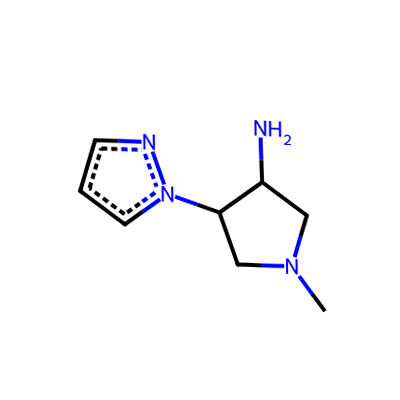 CN1CC(N)C(n2cccn2)C1